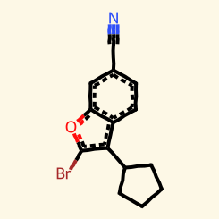 N#Cc1ccc2c(C3CCCC3)c(Br)oc2c1